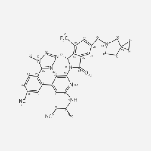 C[C@@H](CC#N)Nc1cc(-c2cc(C#N)ccc2-c2nncn2C)cc(N2Cc3c(cc(CN4CCC5(CC5)C4)cc3C(F)(F)F)C2=O)n1